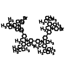 Cc1cc(C(C)(C)C)cc(C)c1N(c1ccc(Br)cc1)c1ccc(-c2ccc(N(c3ccc(-c4ccc(N(c5ccc(-c6ccc(N(c7ccc(Br)cc7)c7c(C)cc(C(C)(C)C)cc7C)cc6)cc5)c5c(C)cc(C(C)(C)C)cc5C)cc4)cc3)c3c(C)cc(C(C)(C)C)cc3C)cc2)cc1